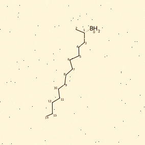 B[C@@H](C)CCCCCCCCCCCC